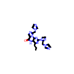 CCCc1nc(-n2ccnc2Cn2ccnc2)nc2c1[nH]c(=O)c1cnc(Cn3ccnc3)n12